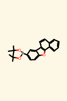 CC1(C)OB(c2ccc3oc4c5ccccc5ccc4c3c2)OC1(C)C